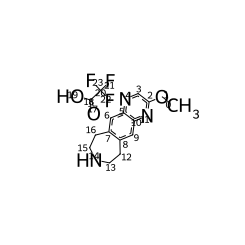 COc1cnc2cc3c(cc2n1)CCNCC3.O=C(O)C(F)(F)F